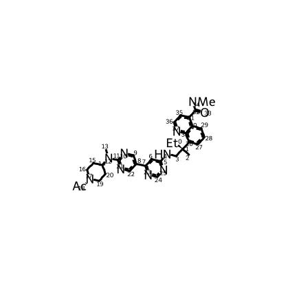 CC[C@@](C)(CNc1cc(-c2cnc(N(C)C3CCN(C(C)=O)CC3)nc2)ncn1)c1cccc2c(C(=O)NC)ccnc12